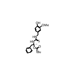 COc1cc(CNC(=S)N[C@](C)(Cc2ccccc2)OC(=O)C(C)(C)C)ccc1O